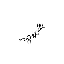 CC(O)COC1CCc2nc(-c3ccc(OCC4CC4)c(Cl)c3)oc2C1